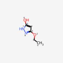 CCOc1cc(O)[nH]n1